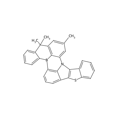 Cc1cc2c3c(c1)C(C)(C)c1ccccc1B3c1cccc3c4sc5ccccc5c4n-2c13